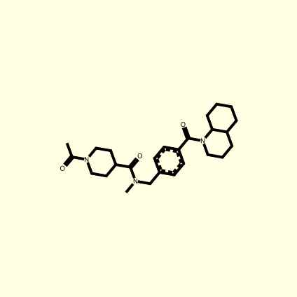 CC(=O)N1CCC(C(=O)N(C)Cc2ccc(C(=O)N3CCCC4CCCCC43)cc2)CC1